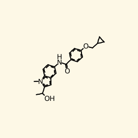 CC(O)c1cc2cc(NC(=O)c3ccc(OCC4CC4)cc3)ccc2n1C